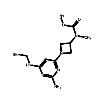 CN(C(=O)OC(C)(C)C)C1CN(c2cc(NCC(C)(C)C)nc(N)n2)C1